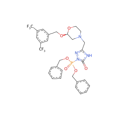 O=c1[nH]c(CN2CCO[C@H](OCc3cc(C(F)(F)F)cc(C(F)(F)F)c3)C2)nn1P(=O)(OCc1ccccc1)OCc1ccccc1